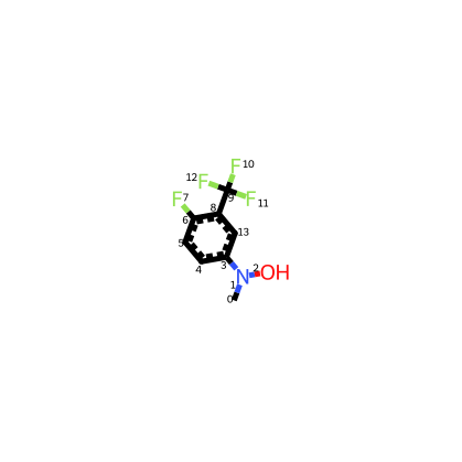 CN(O)c1ccc(F)c(C(F)(F)F)c1